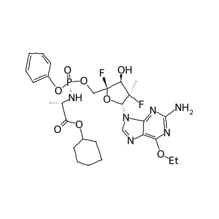 CCOc1nc(N)nc2c1ncn2[C@@H]1O[C@](F)(CO[P@@](=O)(N[C@@H](C)C(=O)OC2CCCCC2)Oc2ccccc2)[C@@H](O)[C@@]1(C)F